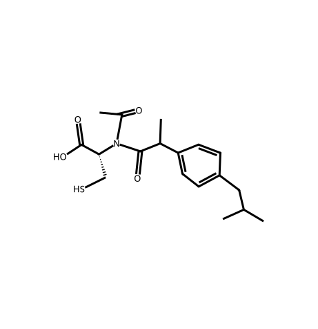 CC(=O)N(C(=O)C(C)c1ccc(CC(C)C)cc1)[C@H](CS)C(=O)O